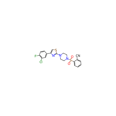 N#Cc1ccccc1S(=O)(=O)N1CCN(c2nc(-c3ccc(F)c(Cl)c3)cs2)CC1